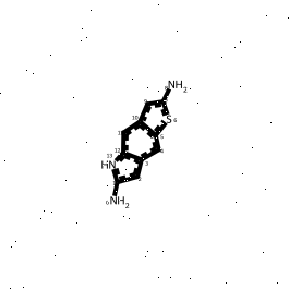 Nc1cc2cc3sc(N)cc3cc2[nH]1